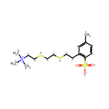 Cc1ccc(S(=O)(=O)[O-])c(CCSCCSCC[N+](C)(C)C)c1